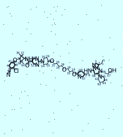 CCc1cnn2c(NCc3ccc(OCCCOCCCCOC4CCN(c5ncc(C(=O)NC6C(C)(C)C(Oc7ccc(C#N)c(Cl)c7)C6(C)C)cn5)CC4)nc3)cc(N3CCCC[C@H]3CCO)nc12